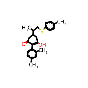 Cc1ccc(SCC(C)C2CC(=O)C(c3ccc(C)cc3C)=C(O)C2)cc1